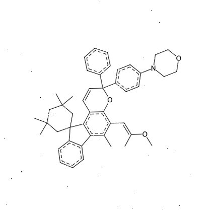 CO/C(C)=C/c1c(C)c2c(c3c1OC(c1ccccc1)(c1ccc(N4CCOCC4)cc1)C=C3)C1(CC(C)(C)CC(C)(C)C1)c1ccccc1-2